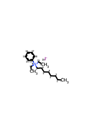 CCCCCCCC[N+](CC)(CC)c1ccccc1.[I-]